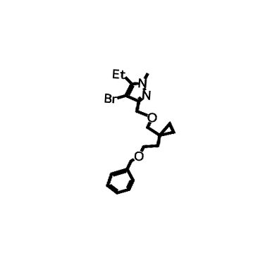 CCc1c(Br)c(COCC2(CCOCc3ccccc3)CC2)nn1C